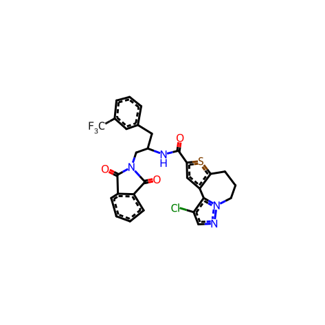 O=C(NC(Cc1cccc(C(F)(F)F)c1)CN1C(=O)c2ccccc2C1=O)c1cc2c(s1)CCCn1ncc(Cl)c1-2